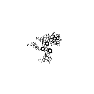 CC(C)(C)OC(=O)COc1cc(OCC(=O)OC(C)(C)C)c([S+](c2ccccc2)c2ccccc2)c(OCC(=O)OC(C)(C)C)c1.O=S(=O)([O-])c1c(C(F)(F)F)c(C(F)(F)F)c(C(F)(F)F)c(C(F)(F)F)c1C(F)(F)F